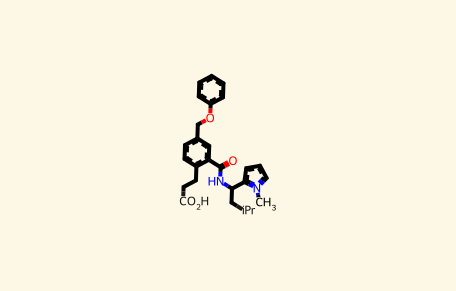 CC(C)CC(NC(=O)c1cc(COc2ccccc2)ccc1CCC(=O)O)c1cccn1C